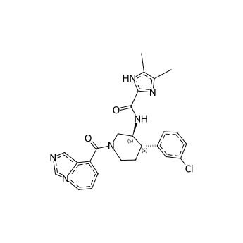 Cc1nc(C(=O)N[C@@H]2CN(C(=O)c3cccn4cncc34)CC[C@H]2c2cccc(Cl)c2)[nH]c1C